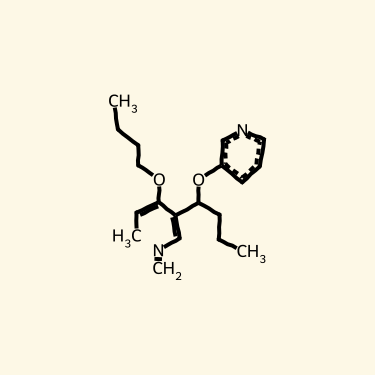 C=N/C=C(\C(=C/C)OCCCC)C(CCC)Oc1cccnc1